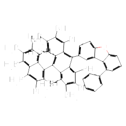 Bc1c(B)c(B)c2c(-c3c4c(B)c(B)c(B)c(B)c4c(-c4ccc5oc6cccc(-c7ccccc7)c6c5c4)c4c(B)c(B)c(B)c(B)c34)c(B)c(B)c(B)c2c1B